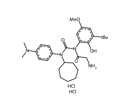 COc1cc(N(C(=O)CN)C(=O)N(c2ccc(N(C)C)cc2)C2CCCCCC2)c(O)c(C(C)(C)C)c1.Cl.Cl